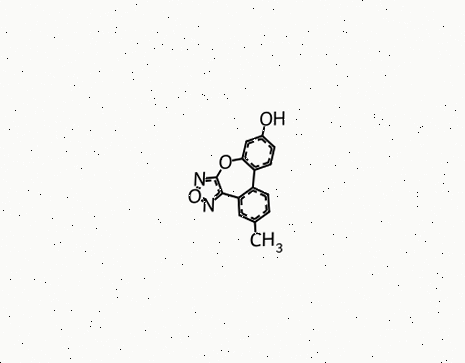 Cc1ccc2c(c1)-c1nonc1Oc1cc(O)ccc1-2